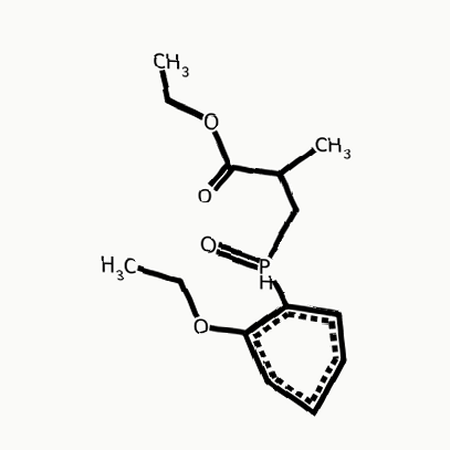 CCOC(=O)C(C)C[PH](=O)c1ccccc1OCC